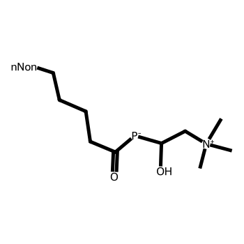 CCCCCCCCCCCCCC(=O)[P-]C(O)C[N+](C)(C)C